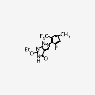 CCOc1nc2nn(-c3c(F)cc(C)cc3C(F)(F)F)cc2c(=O)[nH]1